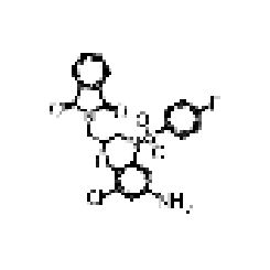 Nc1cc(Cl)c2c(c1)N(S(=O)(=O)c1ccc(F)cc1)C[C@H](CN1C(=O)c3ccccc3C1=O)O2